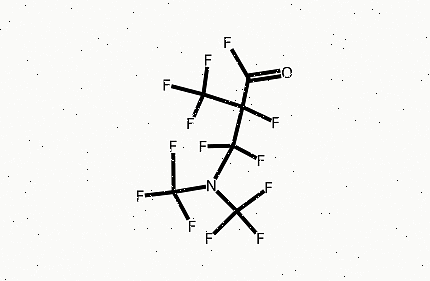 O=C(F)C(F)(C(F)(F)F)C(F)(F)N(C(F)(F)F)C(F)(F)F